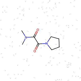 CN(C)C(=O)C(=O)N1CCCC1